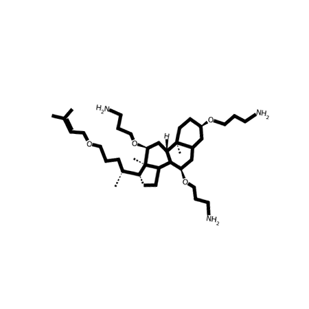 CC(C)=CCOCCC[C@@H](C)[C@H]1CCC2C3[C@H](OCCCN)CC4C[C@H](OCCCN)CC[C@]4(C)[C@H]3C[C@H](OCCCN)[C@@]21C